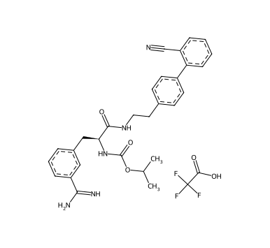 CC(C)OC(=O)N[C@@H](Cc1cccc(C(=N)N)c1)C(=O)NCCc1ccc(-c2ccccc2C#N)cc1.O=C(O)C(F)(F)F